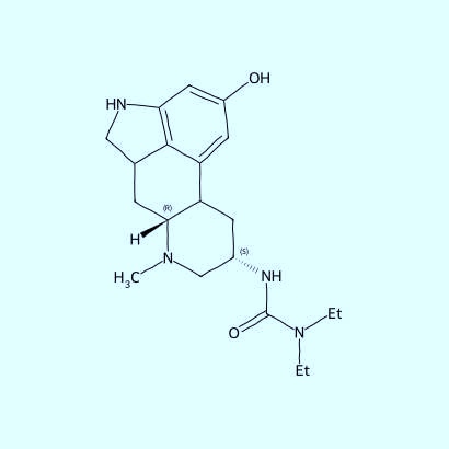 CCN(CC)C(=O)N[C@H]1CC2c3cc(O)cc4c3C(CN4)C[C@H]2N(C)C1